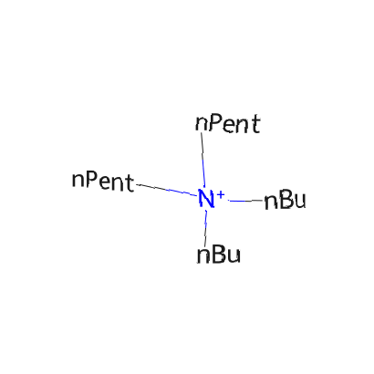 CCCCC[N+](CCCC)(CCCC)CCCCC